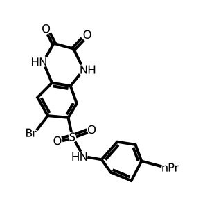 CCCc1ccc(NS(=O)(=O)c2cc3[nH]c(=O)c(=O)[nH]c3cc2Br)cc1